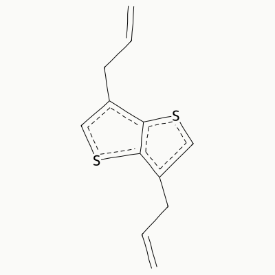 C=CCc1csc2c(CC=C)csc12